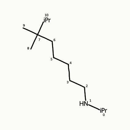 CC(C)NCCCCCC(C)(C)C(C)C